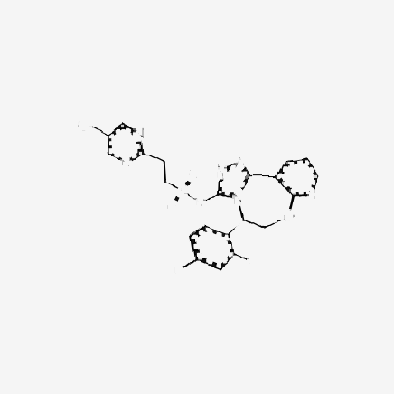 O=S(=O)(CCc1ncc(Cl)cn1)Nc1nnc2n1[C@H](c1ccc(F)cc1F)COc1ncccc1-2